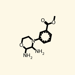 COC(=O)c1cccc(N2CCOC(N)C2N)c1